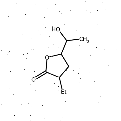 CCC1CC(C(C)O)OC1=O